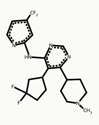 CN1CCC(c2ncnc(Nc3cc(C(F)(F)F)ccn3)c2C2CCC(F)(F)C2)CC1